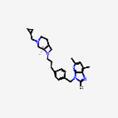 CCc1nc2c(C)cc(C)nc2n1Cc1ccc(CCCN2CC3CCN(CC4CC4)C[C@@H]32)cc1